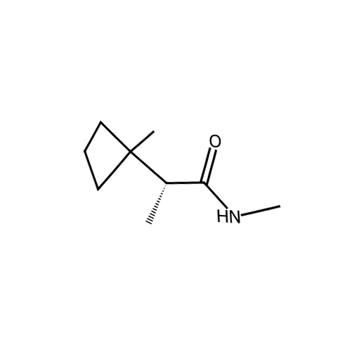 CNC(=O)[C@H](C)C1(C)CCC1